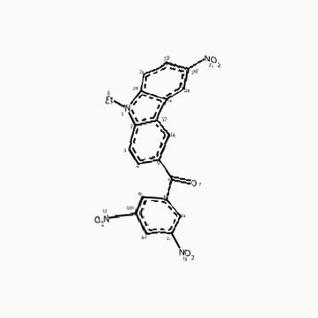 CCn1c2ccc(C(=O)c3cc([N+](=O)[O-])cc([N+](=O)[O-])c3)cc2c2cc([N+](=O)[O-])ccc21